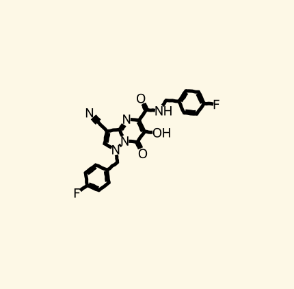 N#Cc1cn(Cc2ccc(F)cc2)n2c(=O)c(O)c(C(=O)NCc3ccc(F)cc3)nc12